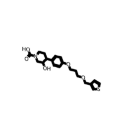 O=C(O)N1CCC(c2ccc(OCCCOCc3ccsc3)cc2)C(O)C1